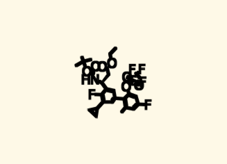 CCOC(=O)C[C@H](NC(=O)OC(C)(C)C)c1cc(-c2c(C)cc(F)cc2OS(=O)(=O)C(F)(F)F)cc(C2CC2)c1F